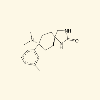 Cc1cccc([C@]2(N(C)C)CC[C@@]3(CC2)CNC(=O)N3)c1